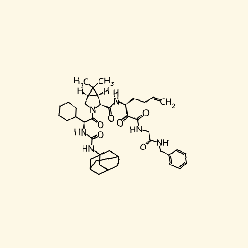 C=CCC[C@H](NC(=O)[C@@H]1[C@@H]2[C@H](CN1C(=O)[C@@H](NC(=O)NC13CC4CC(CC(C4)C1)C3)C1CCCCC1)C2(C)C)C(=O)C(=O)NCC(=O)NCc1ccccc1